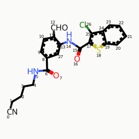 N#CCCCCNC(=O)c1ccc(C=O)c(NC(=O)c2sc3ccccc3c2Cl)c1